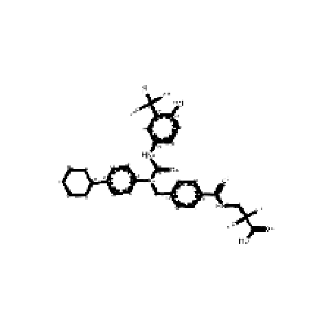 O=C(NCC(F)(F)C(=O)O)c1ccc(CN(C(=O)Nc2ccc(Cl)c(C(F)(F)F)c2)c2ccc(C3CCCCC3)cc2)cc1